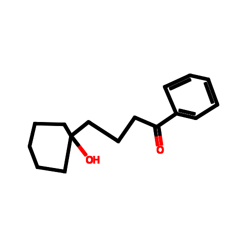 O=C(CCCC1(O)CCCCC1)c1ccccc1